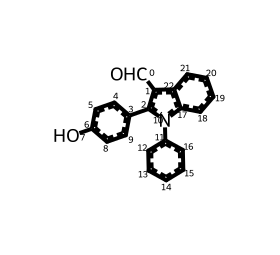 O=Cc1c(-c2ccc(O)cc2)n(-c2ccccc2)c2ccccc12